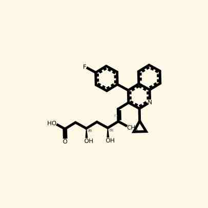 C/C(=C\c1c(C2CC2)nc2ccccc2c1-c1ccc(F)cc1)[C@@H](O)C[C@@H](O)CC(=O)O